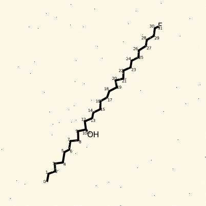 CCCCCCCCCCC(O)CCCCCCCCC[CH]CCCCCCCCCF